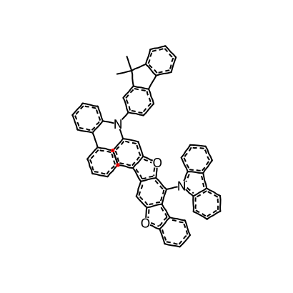 CC1(C)c2ccccc2-c2ccc(N(c3ccc4c(c3)oc3c(-n5c6ccccc6c6ccccc65)c5c(cc34)oc3ccccc35)c3ccccc3-c3ccccc3)cc21